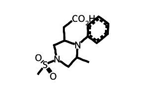 CC1CN(S(C)(=O)=O)CC(CC(=O)O)N1c1ccccc1